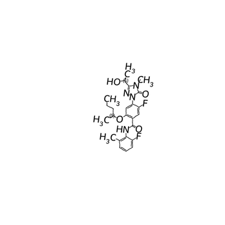 CCC[C@H](C)Oc1cc(-n2nc([C@H](C)O)n(C)c2=O)c(F)cc1C(=O)Nc1c(C)cccc1F